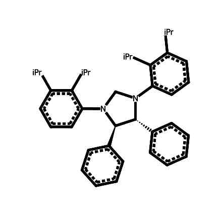 CC(C)c1cccc(N2CN(c3cccc(C(C)C)c3C(C)C)[C@H](c3ccccc3)[C@H]2c2ccccc2)c1C(C)C